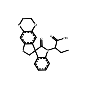 CCC(C(=O)O)N1C(=O)C2(COc3cc4c(cc32)OCCO4)c2ccccc21